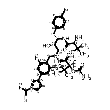 CC(C)([C@H](N)C(=O)N[C@@H](Cc1ccc(I)cc1)[C@@H](O)CN(Cc1c(F)cc(-c2ccn(C(F)F)n2)cc1F)NC(=O)[C@@](C)(OC(N)=O)C(C)(C)C(F)(F)F)C(F)(F)F